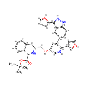 CC(C)(C)OC(=O)CN[C@@H](COc1cnc(-c2ccoc2)c(-c2ccc3[nH]nc(-c4ccco4)c3c2)c1)Cc1ccccc1